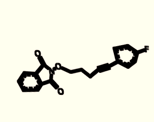 O=C1c2ccccc2C(=O)N1OCCCC#Cc1ccc(F)cc1